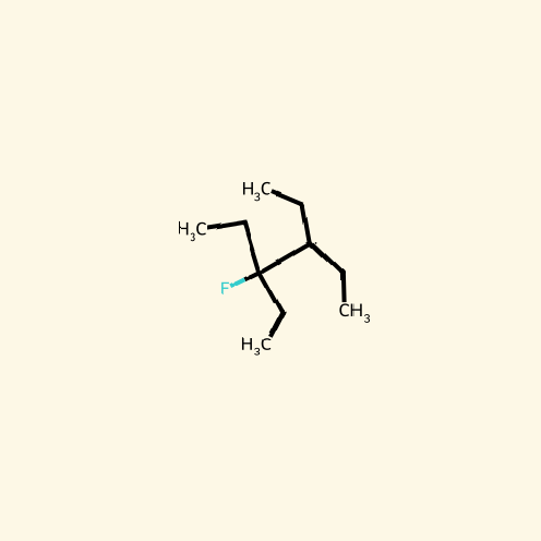 CC[C](CC)C(F)(CC)CC